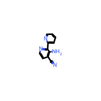 N#Cc1ccnc(-c2ccccn2)c1N